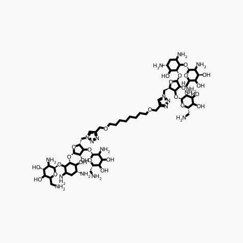 NCC1O[C@H](OC2C(N)C[C@@H](N)C(O)[C@H]2O[C@@H]2O[C@H](Cn3cc(COCCCCCCCCOCc4cn(C[C@H]5O[C@@H](O[C@H]6C(O[C@H]7OC(CN)C(O)[C@H](O)C7N)C(N)C[C@@H](N)C6O)[C@@H](O)C5O[C@H]5O[C@@H](CN)C(O)C(O)C5N)nn4)nn3)C(O[C@H]3O[C@@H](CN)C(O)C(O)C3N)[C@@H]2O)C(N)[C@@H](O)C1O